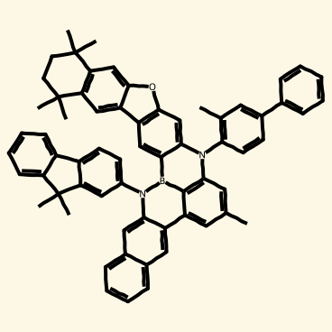 Cc1cc2c3c(c1)N(c1ccc(-c4ccccc4)cc1C)c1cc4oc5cc6c(cc5c4cc1B3N(c1ccc3c(c1)C(C)(C)c1ccccc1-3)c1cc3ccccc3cc1-2)C(C)(C)CCC6(C)C